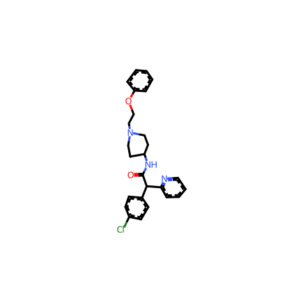 O=C(NC1CCN(CCOc2ccccc2)CC1)C(c1ccc(Cl)cc1)c1ccccn1